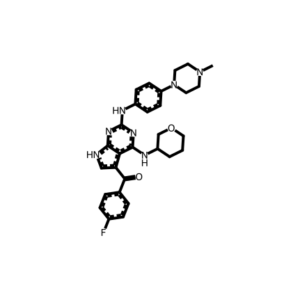 CN1CCN(c2ccc(Nc3nc(NC4CCCOC4)c4c(C(=O)c5ccc(F)cc5)c[nH]c4n3)cc2)CC1